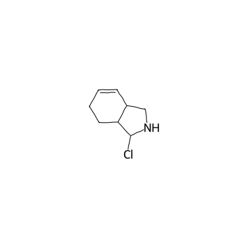 ClC1NCC2C=CCCC21